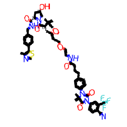 Cc1ncsc1-c1ccc(CNC(=O)[C@@H]2C[C@@H](O)CN2C(=O)[C@@H](CC(=O)CCOCCNC(=O)CCCc2ccc(N3C(=O)N(c4ccc(C#N)c(C(F)(F)F)c4)C(=O)C3(C)C)cc2)C(C)(C)C)cc1